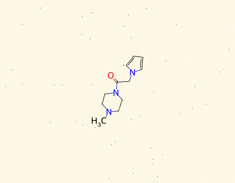 CN1CCN(C(=O)Cn2[c]ccc2)CC1